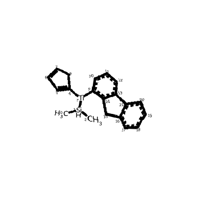 C[SiH](C)[Ti]([C]1=CC=CC1)[c]1cccc2c1Cc1ccccc1-2